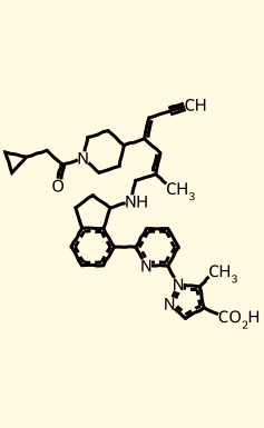 C#C/C=C(\C=C(\C)CNC1CCc2cccc(-c3cccc(-n4ncc(C(=O)O)c4C)n3)c21)C1CCN(C(=O)CC2CC2)CC1